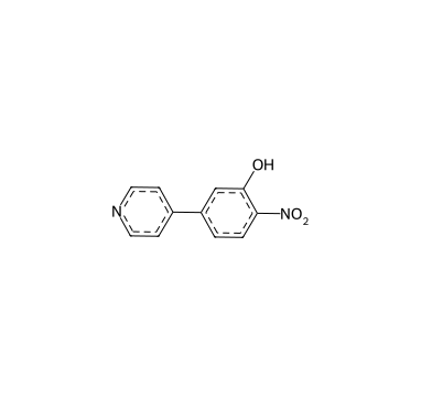 O=[N+]([O-])c1ccc(-c2ccncc2)cc1O